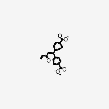 C=CC(=O)C=C(c1ccc(C(=O)OC)cc1)c1ccc(C(=O)OC)cc1